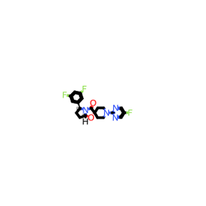 O=C1N2[C@@H](CC[C@H]2c2cc(F)cc(F)c2)OC12CCN(c1ncc(F)cn1)CC2